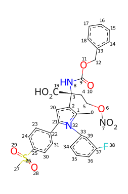 Cc1c([C@@](CCO[N+](=O)[O-])(NC(=O)OCc2ccccc2)C(=O)O)cc(-c2ccc(S(C)(=O)=O)cc2)n1-c1cccc(F)c1